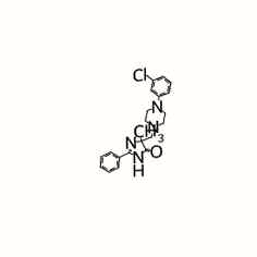 CC1(CN2CCN(c3cccc(Cl)c3)CC2)N=C(c2ccccc2)NC1=O